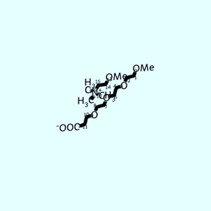 COCCOCCOCCOCCC(=O)[O-].COCC[N+](C)(C)C